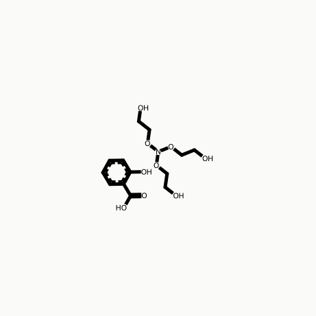 O=C(O)c1ccccc1O.OCCON(OCCO)OCCO